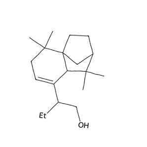 CCC(CO)C1=CCC(C)(C)C23CCC(C2)C(C)(C)C13